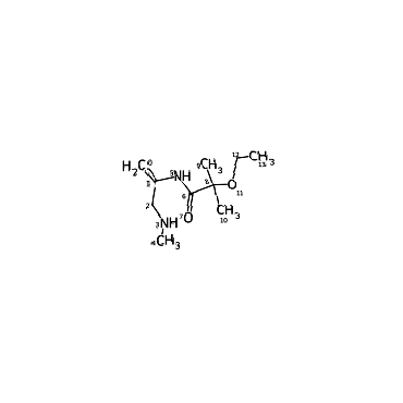 C=C(CNC)NC(=O)C(C)(C)OCC